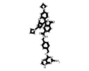 Nc1nc(OCc2ccc(CNC(=O)c3ccc4c(c3)C3(OC4=O)c4ccc(N5CCC5)cc4Oc4cc(N5CCC5)ccc43)cc2)c2nc[nH]c2n1